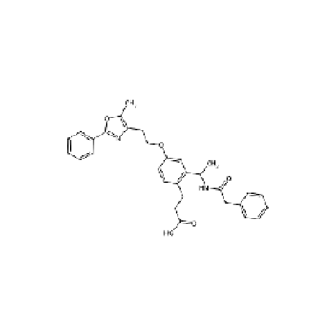 Cc1oc(-c2ccccc2)nc1CCOc1ccc(CCC(=O)O)c(C(C)NC(=O)Cc2ccccc2)c1